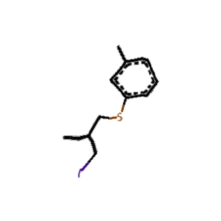 Cc1cccc(SCC(C)CI)c1